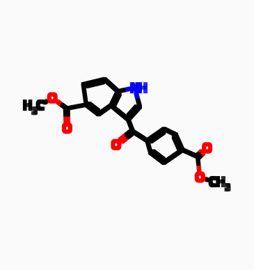 COC(=O)c1ccc(C(=O)c2c[nH]c3ccc(C(=O)OC)cc23)cc1